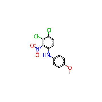 COc1ccc(Nc2ccc(Cl)c(Cl)c2[N+](=O)[O-])cc1